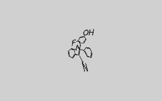 N#Cc1c(-c2ccccc2)n(-c2ccc(O)cc2F)c2ccccc12